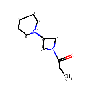 CCC(=O)N1CC(N2CCCCC2)C1